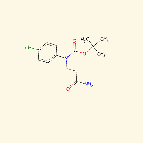 CC(C)(C)OC(=O)N(CCC(N)=O)c1ccc(Cl)cc1